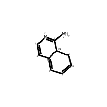 NC1=NC=CC2=CC=CCC21